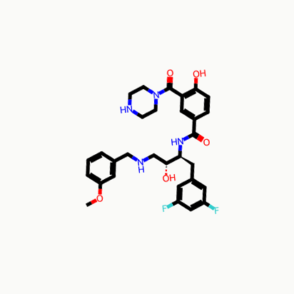 COc1cccc(CNC[C@@H](O)[C@H](Cc2cc(F)cc(F)c2)NC(=O)c2ccc(O)c(C(=O)N3CCNCC3)c2)c1